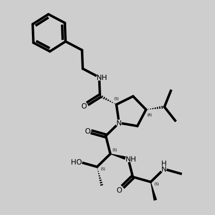 CN[C@@H](C)C(=O)N[C@H](C(=O)N1C[C@@H](C(C)C)C[C@H]1C(=O)NCCc1ccccc1)[C@H](C)O